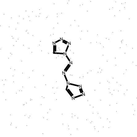 c1nnnn1/N=N/n1cnnn1